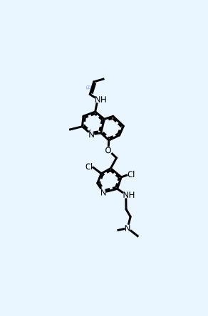 C/C=C\Nc1cc(C)nc2c(OCc3c(Cl)cnc(NCCN(C)C)c3Cl)cccc12